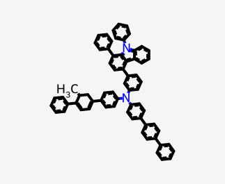 CC1CC(c2ccc(N(c3ccc(-c4ccc(-c5ccccc5)cc4)cc3)c3cccc(-c4ccc(-c5ccccc5)c5c4c4ccccc4n5-c4ccccc4)c3)cc2)=CC=C1c1ccccc1